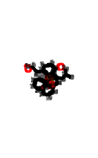 C=C1COc2ccc(CC=O)cc2C(Cc2ccccc2)(S(=O)(=O)c2ccccc2)C1